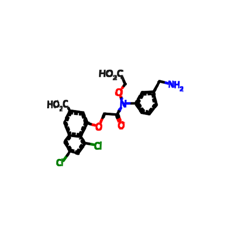 NCc1cccc(N(OCC(=O)O)C(=O)COc2cc(C(=O)O)cc3cc(Cl)cc(Cl)c23)c1